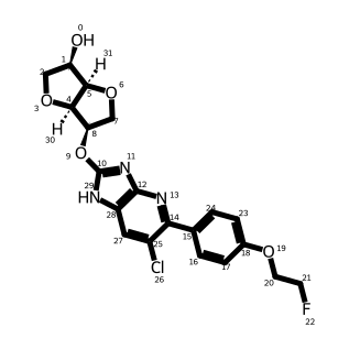 O[C@@H]1CO[C@H]2[C@@H]1OC[C@H]2Oc1nc2nc(-c3ccc(OCCF)cc3)c(Cl)cc2[nH]1